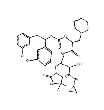 CC1(C)CC(CC(NC(=O)[C@H](CC2CCCCC2)NC(=O)OC(Cc2cccc(Cl)c2)c2cccc(Cl)c2)C(O)C(=O)NC2CC2)C(=O)N1